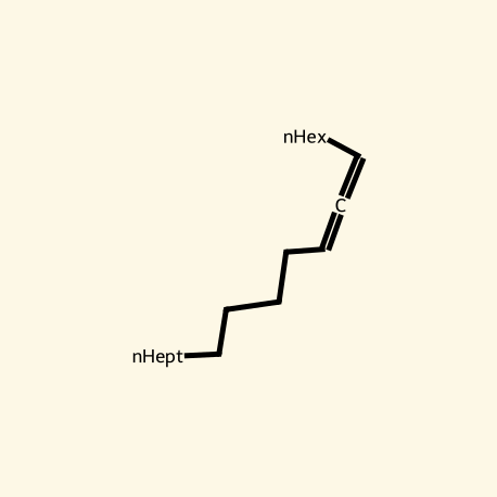 CCCCCCC=C=CCCCCCCCCCCC